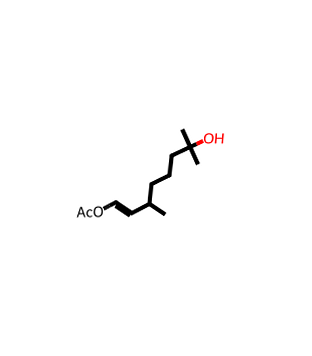 CC(=O)OC=CC(C)CCCC(C)(C)O